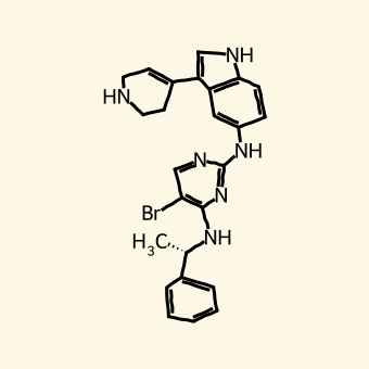 C[C@H](Nc1nc(Nc2ccc3[nH]cc(C4=CCNCC4)c3c2)ncc1Br)c1ccccc1